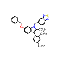 COc1ccc(-c2c(C(=O)O)n(Cc3ccc4nsnc4c3)c3cc(OCc4ccccc4)ccc23)c(OC)c1